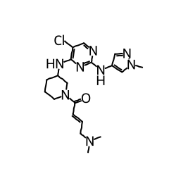 CN(C)C/C=C/C(=O)N1CCCC(Nc2nc(Nc3cnn(C)c3)ncc2Cl)C1